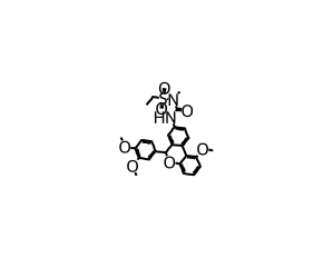 CCS(=O)(=O)N(C)C(=O)Nc1ccc2c(c1)C(c1ccc(OC)c(OC)c1)Oc1cccc(OC)c1-2